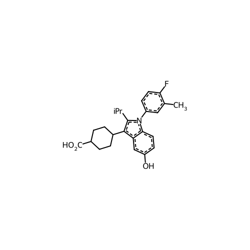 Cc1cc(-n2c(C(C)C)c(C3CCC(C(=O)O)CC3)c3cc(O)ccc32)ccc1F